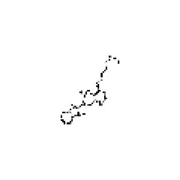 CCCCCSc1ccnc(CSc2nc3ccccc3[nH]2)c1C